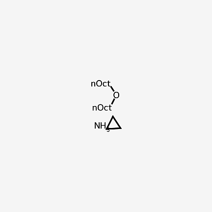 C1CC1.CCCCCCCCOCCCCCCCC.N